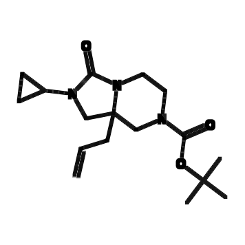 C=CCC12CN(C(=O)OC(C)(C)C)CCN1C(=O)N(C1CC1)C2